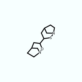 C1CN2CC1C[C](C1CC3CCN(C3)S1)O2